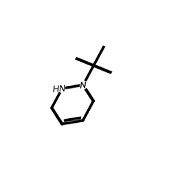 CC(C)(C)N1CC=CCN1